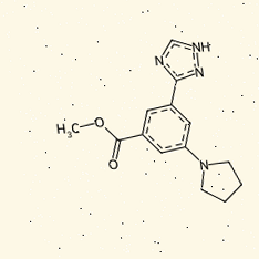 COC(=O)c1cc(-c2nc[nH]n2)cc(N2CCCC2)c1